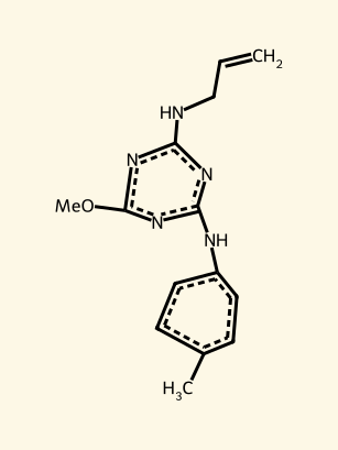 C=CCNc1nc(Nc2ccc(C)cc2)nc(OC)n1